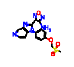 CS(=O)(=O)COc1ccc(-n2c(-c3nonc3N)nc3cnccc32)cc1